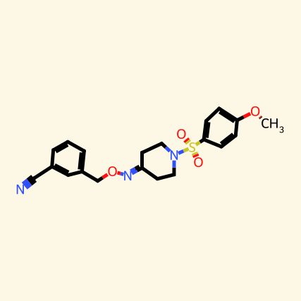 COc1ccc(S(=O)(=O)N2CCC(=NOCc3cccc(C#N)c3)CC2)cc1